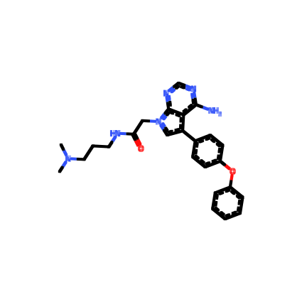 CN(C)CCCNC(=O)Cn1cc(-c2ccc(Oc3ccccc3)cc2)c2c(N)ncnc21